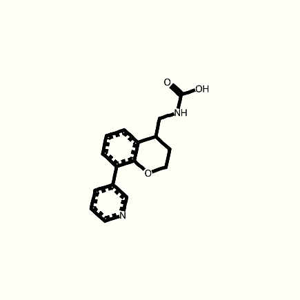 O=C(O)NCC1CCOc2c(-c3cccnc3)cccc21